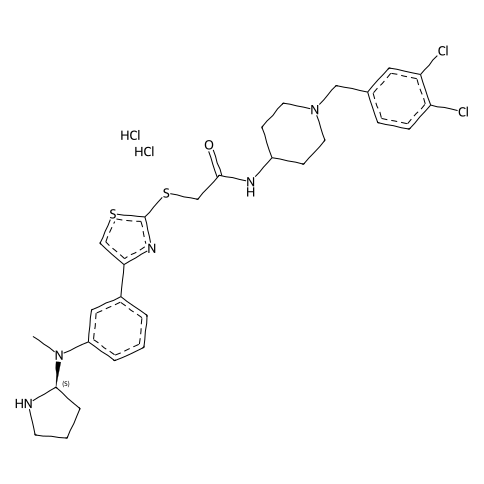 CN(c1cccc(-c2csc(SCC(=O)NC3CCN(Cc4ccc(Cl)c(Cl)c4)CC3)n2)c1)[C@H]1CCCN1.Cl.Cl